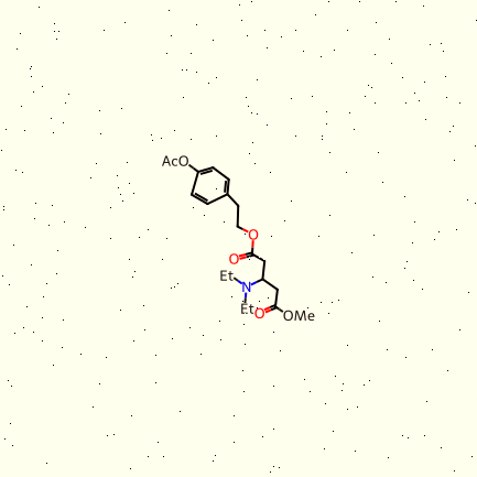 CCN(CC)C(CC(=O)OC)CC(=O)OCCc1ccc(OC(C)=O)cc1